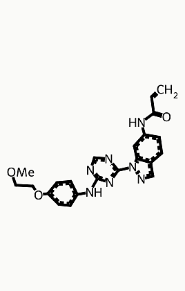 C=CC(=O)Nc1ccc2cnn(-c3ncnc(Nc4ccc(OCCOC)cc4)n3)c2c1